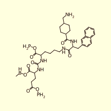 CBOC(=O)C(CCC(=O)OP)NC(=O)NC(CCCCNC(=O)C(Cc1ccc2ccccc2c1)NC(=O)C1CCC(CN)CC1)C(=O)OP